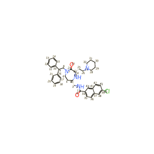 O=C(NC[C@@H]1CCN(CC(c2ccccc2)c2ccccc2)C(=O)[C@H](CCN2CCCCC2)N1)c1ccc2cc(Cl)ccc2c1